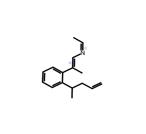 C=CCC(C)c1ccccc1/C(C)=C/N=C\C